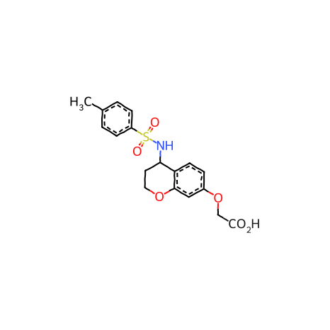 Cc1ccc(S(=O)(=O)NC2CCOc3cc(OCC(=O)O)ccc32)cc1